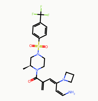 C=C(/C=C(\C=C/N)N1CCC1)C(=O)N1CCN(S(=O)(=O)c2ccc(C(F)(F)F)cc2)C[C@@H]1C